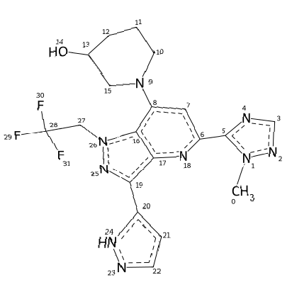 Cn1ncnc1-c1cc(N2CCCC(O)C2)c2c(n1)c(-c1ccn[nH]1)nn2CC(F)(F)F